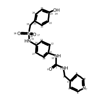 O=C(NCc1ccncc1)Nc1ccc(NS(=O)(=O)Cc2ccc(O)cc2)cc1